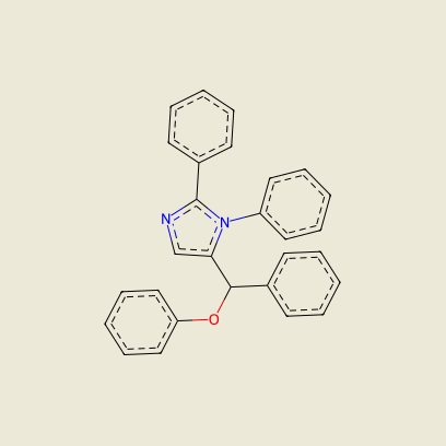 c1ccc(OC(c2ccccc2)c2cnc(-c3ccccc3)n2-c2ccccc2)cc1